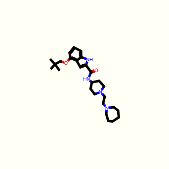 CC(C)(C)COc1cccc2[nH]c(C(=O)NC3CCN(CCN4CCCCCC4)CC3)cc12